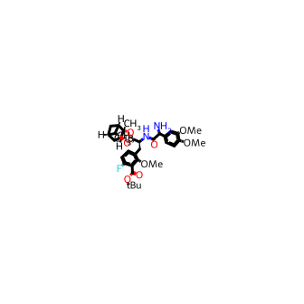 COc1ccc(C(N)C(=O)N[C@@H](Cc2ccc(F)c(C(=O)OC(C)(C)C)c2OC)B2O[C@@H]3C[C@@H]4C[C@@H](C4(C)C)[C@]3(C)O2)cc1OC